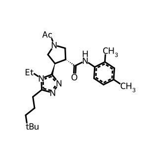 CCn1c(CCCC(C)(C)C)nnc1[C@H]1CN(C(C)=O)C[C@@H]1C(=O)Nc1ccc(C)cc1C